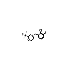 FC(F)(F)C1CN(Cc2cccc(Br)c2Cl)CCO1